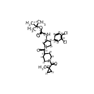 CC(C)(C)OC(=O)N[C@@H]1CN(C(=O)C2CCN(C(=O)C3(C)CC3)CC2)C[C@H]1c1ccc(Cl)c(Cl)c1